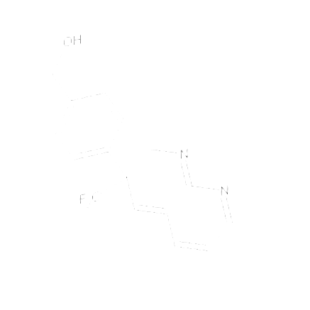 OCc1ccc(C2(C(F)(F)F)C=c3cccnc3=NC2)cc1